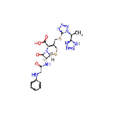 CC(c1nnn[nH]1)n1nnnc1SCC1=C(C(=O)O)N2C(=O)[C@@H](NC(=O)CNc3ccccc3)[C@@H]2SC1